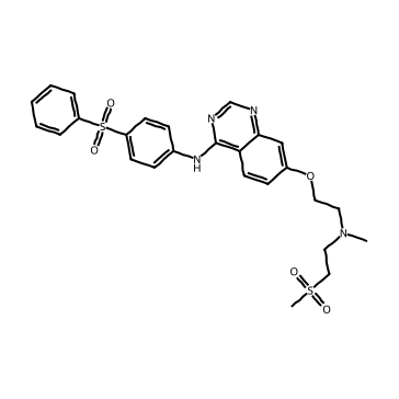 CN(CCOc1ccc2c(Nc3ccc(S(=O)(=O)c4ccccc4)cc3)ncnc2c1)CCS(C)(=O)=O